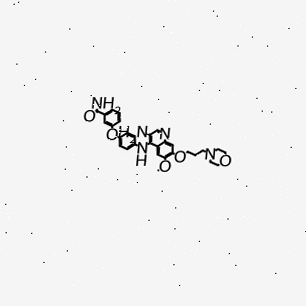 COc1cc2c(Nc3ccc(Oc4cccc(C(N)=O)c4)cc3)c(N)cnc2cc1OCCCN1CCOCC1